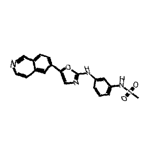 CS(=O)(=O)Nc1cccc(Nc2ncc(-c3ccc4cnccc4c3)o2)c1